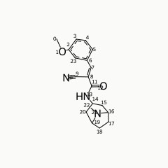 COc1cccc(C=C(C#N)C(=O)NC2CC3CCC(C2)N3C)c1